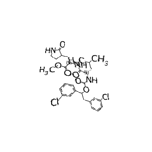 COC(=O)[C@H](CC1CCNC1=O)NC(=O)[C@H](CC(C)C)NC(=O)OC(Cc1cccc(Cl)c1)c1cccc(Cl)c1